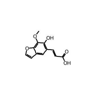 COc1c(O)c(C=CC(=O)O)cc2ccoc12